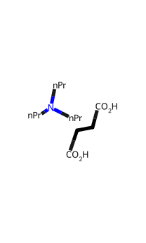 CCCN(CCC)CCC.O=C(O)CCC(=O)O